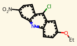 CCOc1ccc2nc3cc([N+](=O)[O-])ccc3c(Cl)c2c1